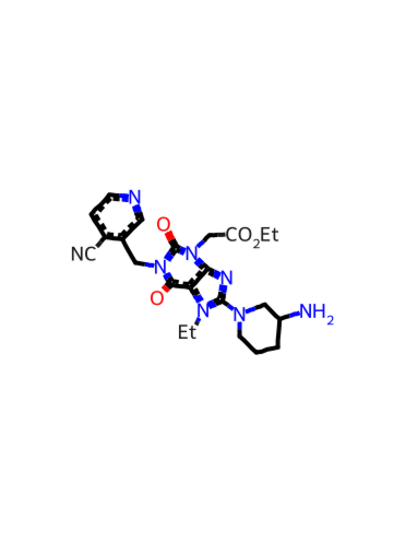 CCOC(=O)Cn1c(=O)n(Cc2cnccc2C#N)c(=O)c2c1nc(N1CCCC(N)C1)n2CC